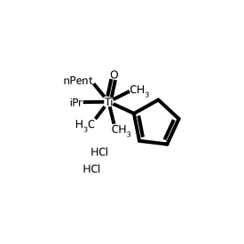 CCCC[CH2][Ti]([CH3])([CH3])([CH3])(=[O])([C]1=CC=CC1)[CH](C)C.Cl.Cl